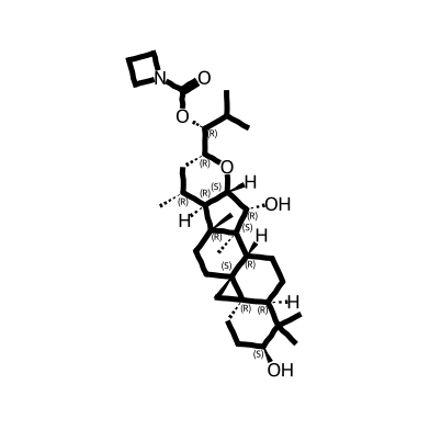 CC(C)[C@@H](OC(=O)N1CCC1)[C@H]1C[C@@H](C)[C@H]2[C@H](O1)[C@H](O)[C@@]1(C)[C@@H]3CC[C@H]4C(C)(C)[C@@H](O)CC[C@@]45C[C@@]35CC[C@]21C